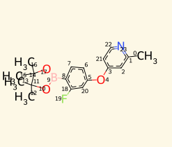 Cc1cc(Oc2ccc(B3OC(C)(C)C(C)(C)O3)c(F)c2)ccn1